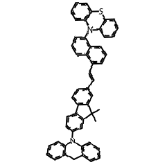 CC1(C)c2cc(/C=C/c3cccc4c(N5c6ccccc6Sc6ccccc65)cccc34)ccc2-c2ccc(N3c4ccccc4Cc4ccccc43)cc21